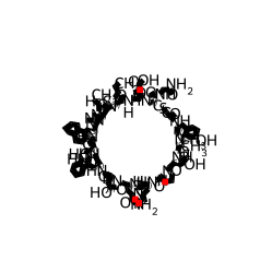 CCCC[C@H]1C(=O)N[C@@H](CCC(=O)O)C(=O)N[C@H](C(=O)NCC(N)=O)CSCC(=O)N[C@@H](Cc2ccc(O)cc2)C(=O)N(C)[C@@H](C)C(=O)N[C@@H](CC(=O)O)C(=O)N2CCC[C@H]2C(=O)N[C@@H](Cc2cnc[nH]2)C(=O)N[C@@H](CCC(N)=O)C(=O)N2C[C@H](O)C[C@H]2C(=O)N[C@@H](Cc2c[nH]c3ccccc23)C(=O)N[C@@H](CO)C(=O)N[C@@H](Cc2cccc3ccccc23)c2nnnn2[C@@H](CCCC)C(=O)N1C